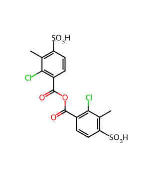 Cc1c(S(=O)(=O)O)ccc(C(=O)OC(=O)c2ccc(S(=O)(=O)O)c(C)c2Cl)c1Cl